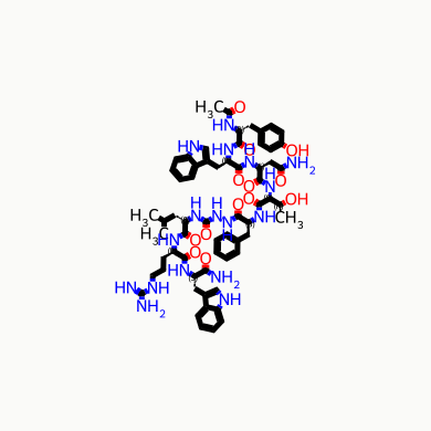 CC(=O)N[C@H](Cc1ccc(O)cc1)C(=O)N[C@H](Cc1c[nH]c2ccccc12)C(=O)N[C@@H](CC(N)=O)C(=O)N[C@H](C(=O)N[C@@H](Cc1ccccc1)C(=O)NNC(=O)N[C@@H](CC(C)C)C(=O)N[C@H](CCCNC(=N)N)C(=O)N[C@@H](Cc1c[nH]c2ccccc12)C(N)=O)[C@@H](C)O